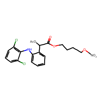 CC(=O)OC(C(=O)OCCCCO[N+](=O)[O-])c1ccccc1Nc1c(Cl)cccc1Cl